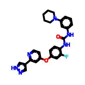 O=C(Nc1cccc(N2CCCCC2)c1)Nc1ccc(Oc2ccnc(-c3cn[nH]c3)c2)cc1F